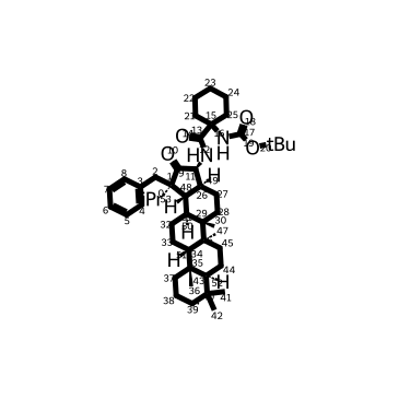 CC(C)[C@]1(Cc2ccccc2)C(=O)[C@@H](NC(=O)C2(NC(=O)OC(C)(C)C)CCCCC2)[C@H]2CC[C@@]3(C)[C@@H](CC[C@H]4[C@@]5(C)CC[CH]C(C)(C)[C@@H]5CC[C@@]43C)[C@@H]21